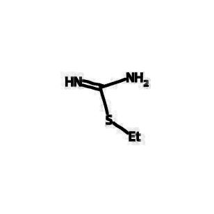 [CH2]CSC(=N)N